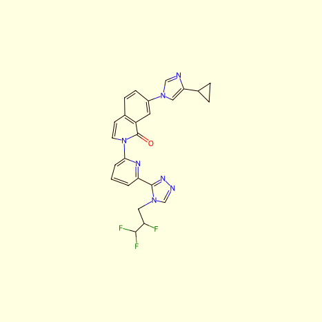 O=c1c2cc(-n3cnc(C4CC4)c3)ccc2ccn1-c1cccc(-c2nncn2CC(F)C(F)F)n1